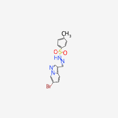 Cc1ccc(S(=O)(=O)N/N=C\c2cnn3cc(Br)ccc23)cc1